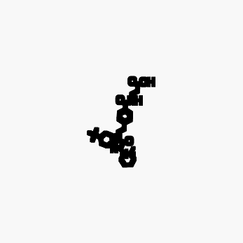 C[C@H]1CCCCN1C1=NC2(CCC(C(C)(C)C)CC2)N(CCc2ccc(C(=O)NCCC(=O)O)cc2)C1=O